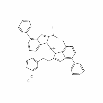 Cc1ccc(-c2ccccc2)c2c1[CH]([Zr+2][CH]1C(C(C)C)=Cc3c(-c4ccccc4)cccc31)C(CCc1ccccc1)=C2.[Cl-].[Cl-]